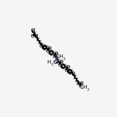 C=CC(=O)OCCCCCCOc1ccc(OC(=O)[C@H]2CC[C@H](OC(=O)/C(C=C)=C/C=C(\C)OC(=O)[C@H]3CC[C@H](OC(=O)c4ccc(OCCCCCCOC(=O)CCCl)cc4)CC3)CC2)cc1